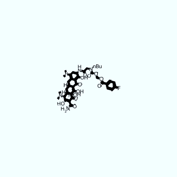 CCCCN(CC(=O)Nc1cc(N(C)C)c2c(c1O)C(=O)C1=C(O)[C@]3(O)C(=O)C(C(N)=O)=C(O)[C@@H](N(C)C)[C@@H]3C[C@@H]1C2)C(=O)OCOC(=O)c1ccc(F)cc1